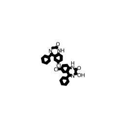 O=C1CN=C(c2ccccc2)c2cc(Cl)ccc2N1.O=C1Nc2ccc(Cl)cc2C(c2ccccc2)=NC1O